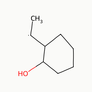 C[CH]C1CCCCC1O